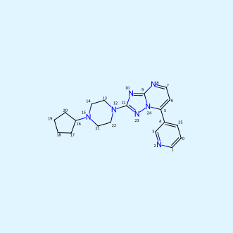 c1cncc(-c2ccnc3nc(N4CCN(C5CCCC5)CC4)nn23)c1